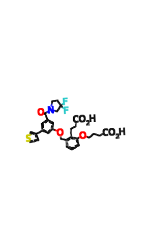 O=C(O)CCCOc1cccc(COc2cc(C(=O)N3CCC(F)(F)C3)cc(-c3ccsc3)c2)c1CCC(=O)O